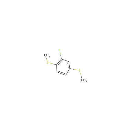 CSc1ccc(SC)c(F)c1